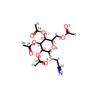 CC(=O)OCC1OC(SCC#N)C(OC(C)=O)C(OC(C)=O)C1OC(C)=O